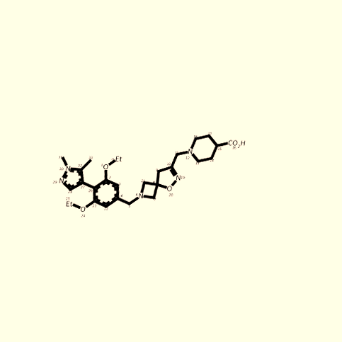 CCOc1cc(CN2CC3(CC(CN4CCC(C(=O)O)CC4)=NO3)C2)cc(OCC)c1-c1cnn(C)c1C